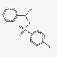 CCCC(OS(=O)(=S)c1ccc(C)cc1)c1ccccc1